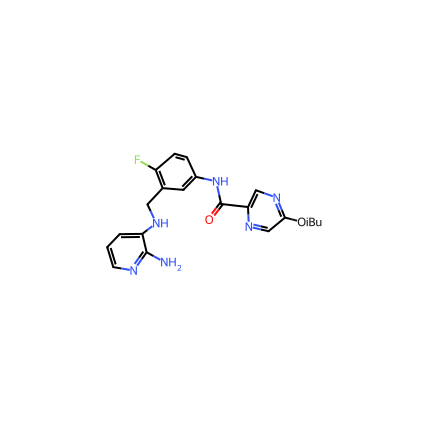 CC(C)COc1cnc(C(=O)Nc2ccc(F)c(CNc3cccnc3N)c2)cn1